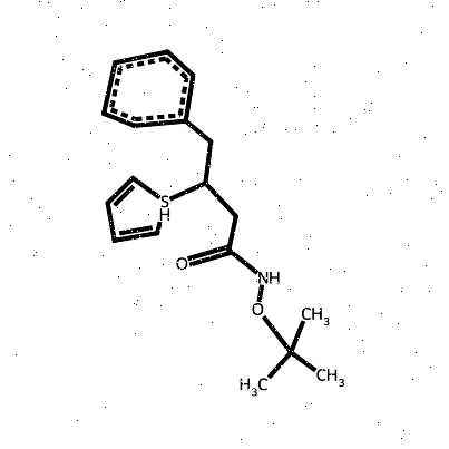 CC(C)(C)ONC(=O)CC(Cc1ccccc1)[SH]1C=CC=C1